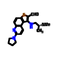 CN[C@H](C)CNc1c(C=O)sc2ccc3nc(N4CCCC4)ccc3c12